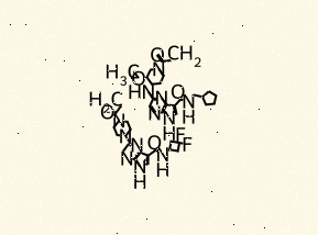 C=CC(=O)N1CCN(c2cnc3[nH]cc(C(=O)NC4CC(F)(F)C4)c3n2)CC1.C=CC(=O)N1CC[C@H](Nc2cnc3[nH]cc(C(=O)NCC4CCCC4)c3n2)[C@H](OC)C1